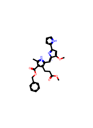 COC(=O)CCc1c(/C=C2\N=C(c3ccc[nH]3)C=C2OC)[nH]c(C)c1C(=O)OCc1ccccc1